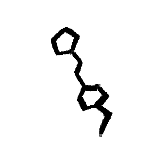 ICc1ccc(CCN2CCCC2)nc1